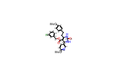 COc1ccc(CCC2=C(C(=O)OCc3cccc(F)c3)C(c3ccc(OC)nc3)NC(=O)N2)cc1